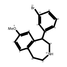 COc1ccc2c(c1)C(c1cccc(Br)c1)CNCC2